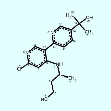 C[C@@H](CCO)Nc1cc(Cl)ncc1-c1ccc(C(C)(C)O)cn1